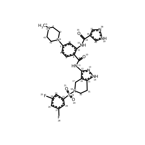 CN1CCN(c2ccc(C(=O)Nc3n[nH]c4c3CN(S(=O)(=O)c3cc(F)cc(F)c3)CC4)c(NC(=O)c3cn[nH]c3)c2)CC1